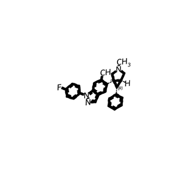 Cc1cc2c(cnn2-c2ccc(F)cc2)cc1[C@]12CN(C)C[C@H]1[C@@H]2c1ccccc1